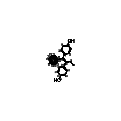 CCC(=C(c1ccc(O)cc1)[C]12[CH]3[CH]4[CH]5[CH]1[Fe]45321678[CH]2[CH]1[CH]6[CH]7[CH]28)c1ccc(O)cc1